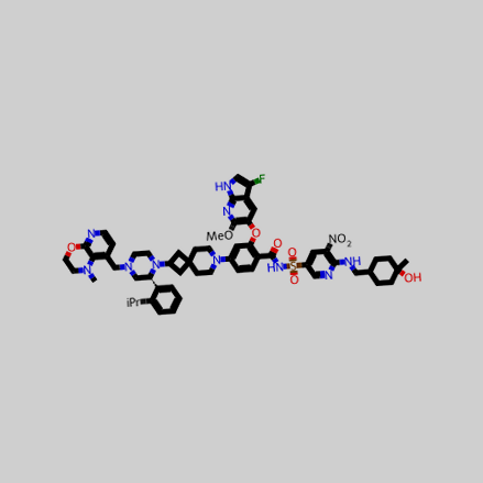 COc1nc2[nH]cc(F)c2cc1Oc1cc(N2CCC3(CC2)CC(N2CCN(Cc4ccnc5c4N(C)CCO5)C[C@H]2c2ccccc2C(C)C)C3)ccc1C(=O)NS(=O)(=O)c1cnc(NCC2CCC(C)(O)CC2)c([N+](=O)[O-])c1